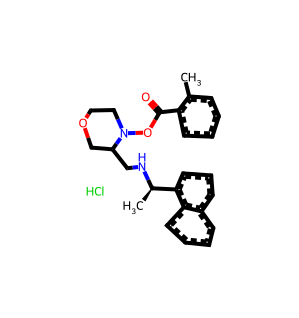 Cc1ccccc1C(=O)ON1CCOCC1CN[C@H](C)c1cccc2ccccc12.Cl